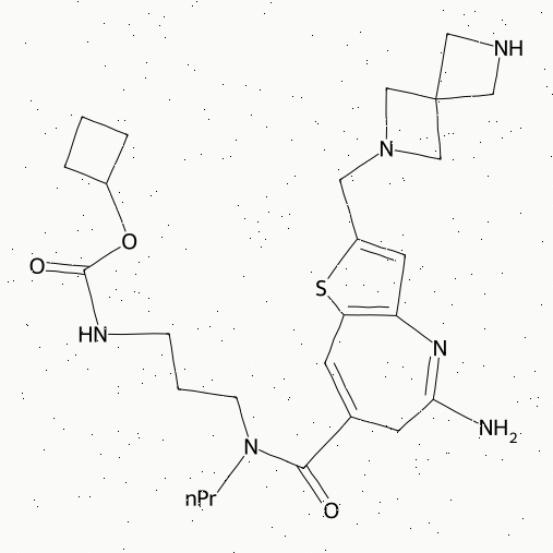 CCCN(CCCNC(=O)OC1CCC1)C(=O)C1=Cc2sc(CN3CC4(CNC4)C3)cc2N=C(N)C1